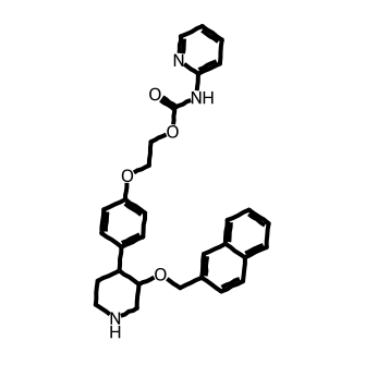 O=C(Nc1ccccn1)OCCOc1ccc(C2CCNCC2OCc2ccc3ccccc3c2)cc1